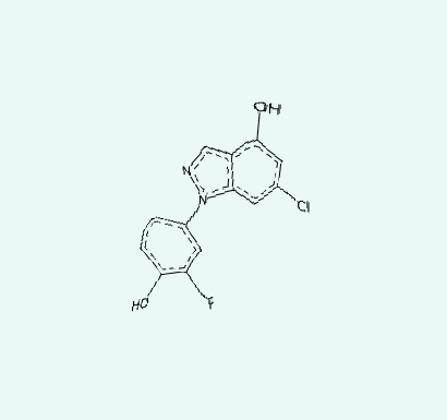 Oc1ccc(-n2ncc3c(O)cc(Cl)cc32)cc1F